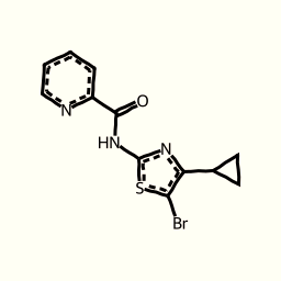 O=C(Nc1nc(C2CC2)c(Br)s1)c1ccccn1